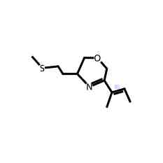 C/C=C(\C)C1=NC(CCSC)COC1